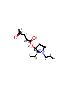 CCCN1CC[C@H](OC(=O)CCC(C)=O)[C@@H]1CC